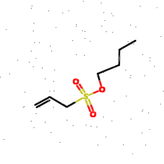 C=CCS(=O)(=O)OCCCC